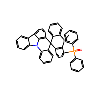 C[Si]1(C)c2ccccc2C2(c3ccccc3-n3c4ccccc4c4cccc2c43)c2cccc(P(=O)(c3ccccc3)c3ccccc3)c21